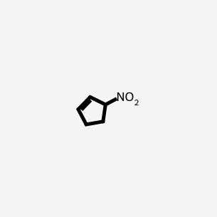 O=[N+]([O-])C1C=CCC1